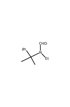 CCN([C]=O)C(C)(C)C(C)C